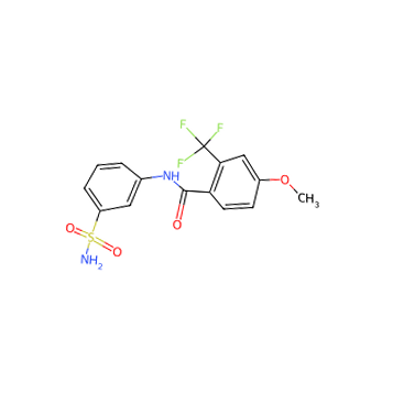 COc1ccc(C(=O)Nc2cccc(S(N)(=O)=O)c2)c(C(F)(F)F)c1